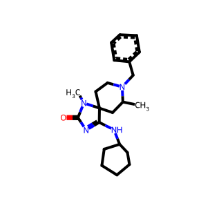 CC1CC2(CCN1Cc1ccccc1)C(NC1CCCCC1)=NC(=O)N2C